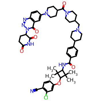 CC1(C)C(NC(=O)c2ccc(C3CCN(CC4CCN(C(=O)C5CCN(c6ccc7nnn(C8CCC(=O)NC8=O)c(=O)c7c6)CC5)CC4)CC3)cc2)C(C)(C)C1Oc1ccc(C#N)c(Cl)c1